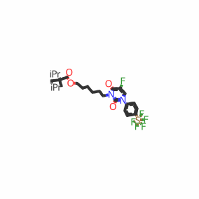 CC(C)CC(C)(C(=O)OCCCCCCn1c(=O)c(F)cn(-c2ccc(S(F)(F)(F)(F)F)cc2)c1=O)C(C)C